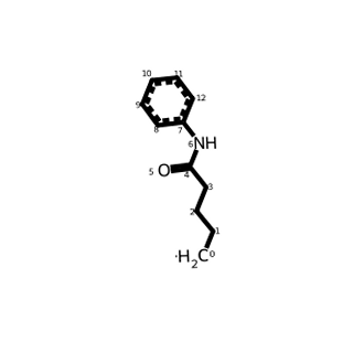 [CH2]CCCC(=O)Nc1ccccc1